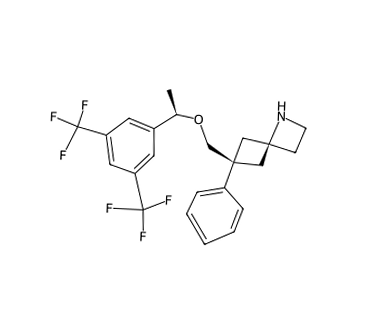 C[C@@H](OC[C@]1(c2ccccc2)C[C@@]2(CCN2)C1)c1cc(C(F)(F)F)cc(C(F)(F)F)c1